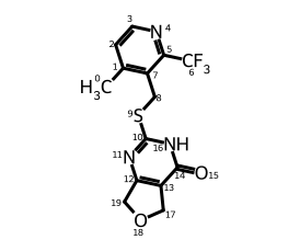 Cc1ccnc(C(F)(F)F)c1CSc1nc2c(c(=O)[nH]1)COC2